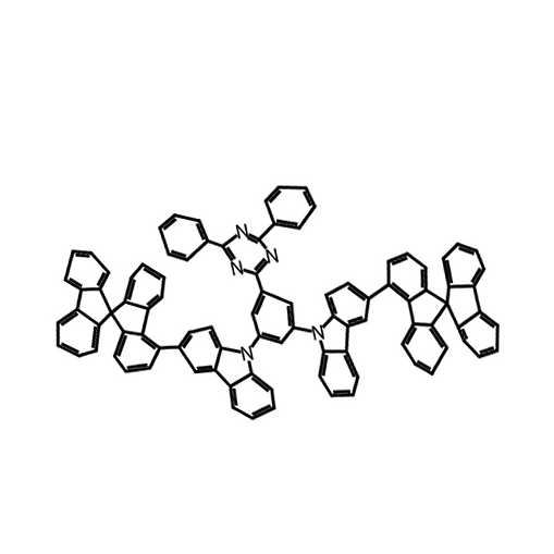 c1ccc(-c2nc(-c3ccccc3)nc(-c3cc(-n4c5ccccc5c5cc(-c6cccc7c6-c6ccccc6C76c7ccccc7-c7ccccc76)ccc54)cc(-n4c5ccccc5c5cc(-c6cccc7c6-c6ccccc6C76c7ccccc7-c7ccccc76)ccc54)c3)n2)cc1